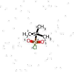 C[Si](C)(C)S(=O)(=O)Cl